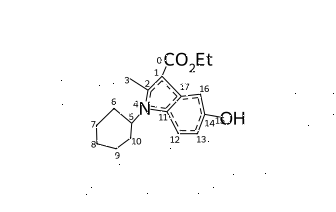 CCOC(=O)c1c(C)n(C2CCCCC2)c2ccc(O)cc12